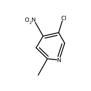 Cc1cc([N+](=O)[O-])c(Cl)cn1